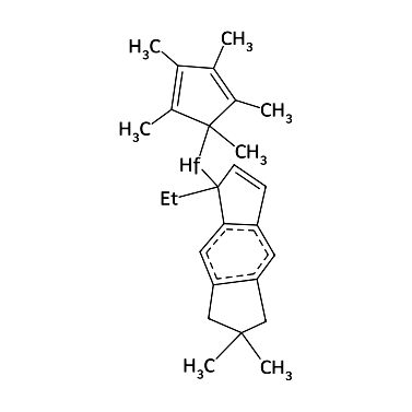 CC[C]1([Hf][C]2(C)C(C)=C(C)C(C)=C2C)C=Cc2cc3c(cc21)CC(C)(C)C3